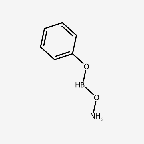 NOBOc1ccccc1